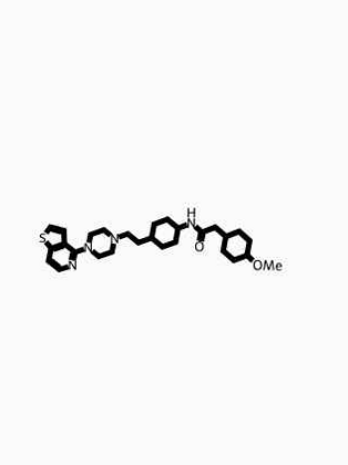 COC1CCC(CC(=O)NC2CCC(CCN3CCN(c4nccc5sccc45)CC3)CC2)CC1